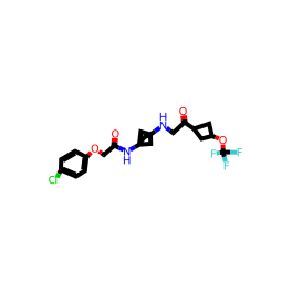 O=C(COc1ccc(Cl)cc1)NC12CC(NCC(=O)C3CC(OC(F)(F)F)C3)(C1)C2